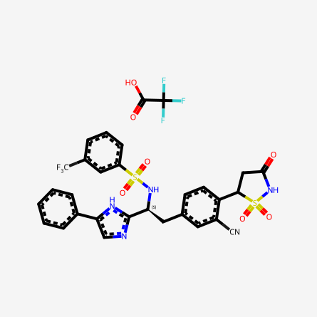 N#Cc1cc(C[C@H](NS(=O)(=O)c2cccc(C(F)(F)F)c2)c2ncc(-c3ccccc3)[nH]2)ccc1C1CC(=O)NS1(=O)=O.O=C(O)C(F)(F)F